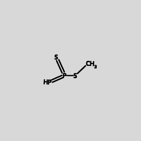 CSP(=P)=S